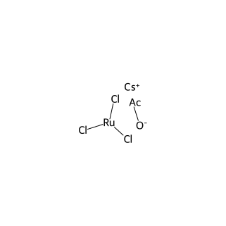 CC(=O)[O-].[Cl][Ru]([Cl])[Cl].[Cs+]